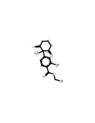 N#CCOC(=O)c1ccc(C2(N)C(=O)CCCC2=O)cc1O